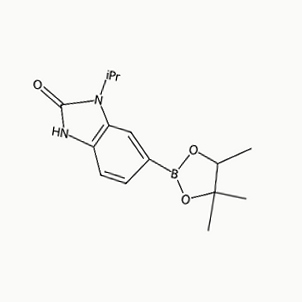 CC(C)n1c(=O)[nH]c2ccc(B3OC(C)C(C)(C)O3)cc21